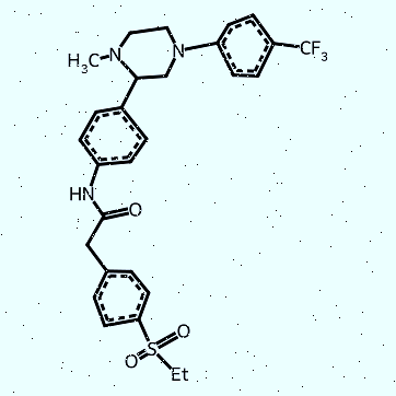 CCS(=O)(=O)c1ccc(CC(=O)Nc2ccc(C3CN(c4ccc(C(F)(F)F)cc4)CCN3C)cc2)cc1